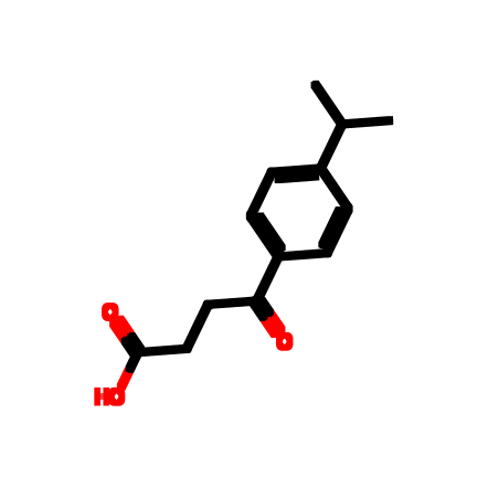 CC(C)c1ccc(C(=O)CCC(=O)O)cc1